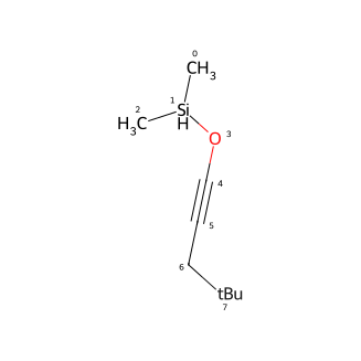 C[SiH](C)OC#CCC(C)(C)C